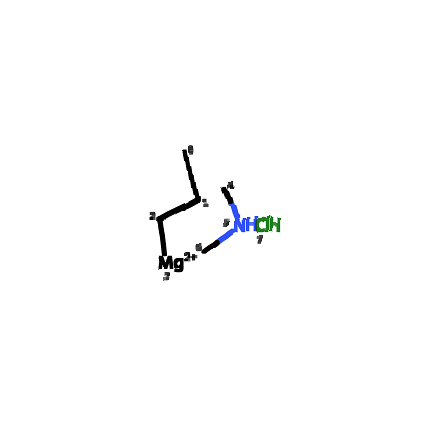 CC[CH2][Mg+2].CNC.Cl